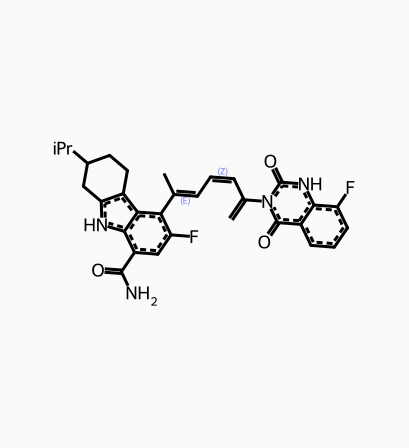 C=C(/C=C\C=C(/C)c1c(F)cc(C(N)=O)c2[nH]c3c(c12)CCC(C(C)C)C3)n1c(=O)[nH]c2c(F)cccc2c1=O